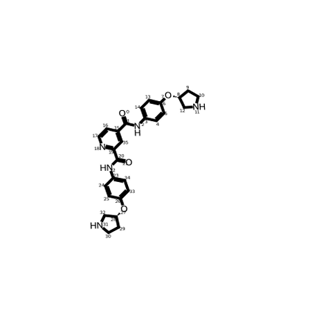 O=C(Nc1ccc(O[C@@H]2CCNC2)cc1)c1ccnc(C(=O)Nc2ccc(O[C@@H]3CCNC3)cc2)c1